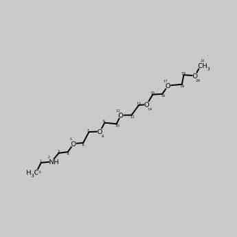 CCNCCOCCOCCOCCOCCOCCOC